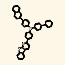 c1ccc(-c2ccc(N(c3ccc(-c4ccc5ccccc5c4)cc3)c3ccc(-c4ccc5c(n4)sc4ccccc45)cc3)cc2)cc1